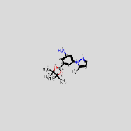 Cc1ccnn1-c1cc(N)cc(B2OC(C)(C)C(C)(C)O2)c1